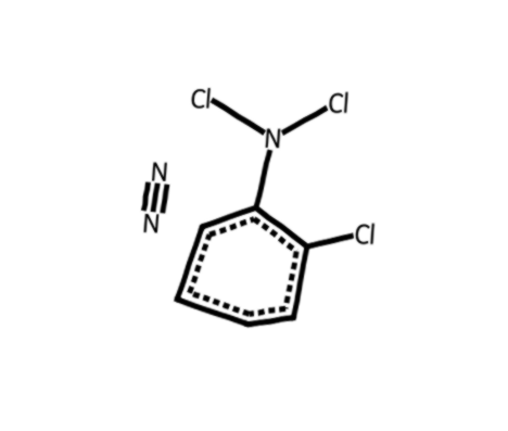 Clc1ccccc1N(Cl)Cl.N#N